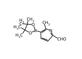 Cc1nc(C=O)ccc1B1OC(C)(C)C(C)(C)O1